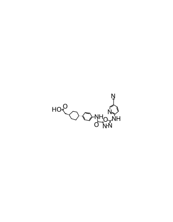 N#Cc1ccc(Nc2nnc(C(=O)Nc3ccc([C@H]4CC[C@H](CC(=O)O)CC4)cc3)o2)nc1